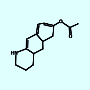 CC(=O)OC1=CC=C2C=C3NCCCC3CC2C1